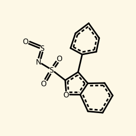 O=S=NS(=O)(=O)c1oc2ccccc2c1-c1ccccc1